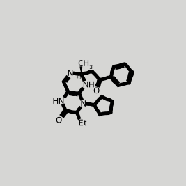 CCC1C(=O)NC2=C(N[C@@](C)(CC(=O)c3ccccc3)N=C2)N1C1CCCC1